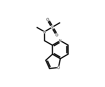 CN(Cc1nccc2occc12)S(C)(=O)=O